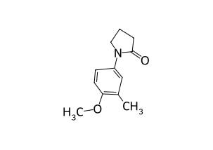 COc1ccc(N2CCCC2=O)cc1C